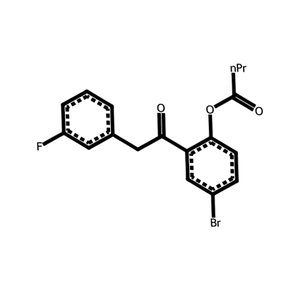 CCCC(=O)Oc1ccc(Br)cc1C(=O)Cc1cccc(F)c1